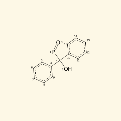 O=PC(O)(c1ccccc1)c1ccccc1